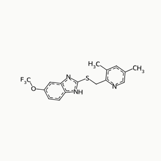 Cc1cnc(CSc2nc3cc(OC(F)(F)F)ccc3[nH]2)c(C)c1